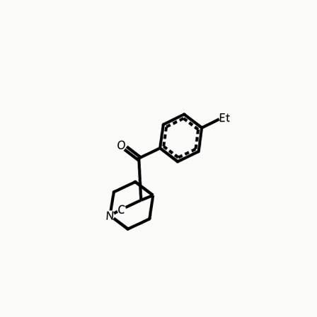 CCc1ccc(C(=O)C2CN3CCC2CC3)cc1